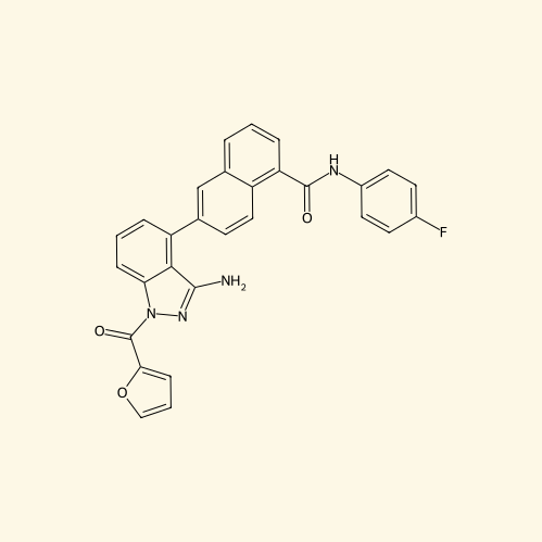 Nc1nn(C(=O)c2ccco2)c2cccc(-c3ccc4c(C(=O)Nc5ccc(F)cc5)cccc4c3)c12